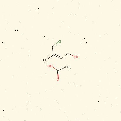 CC(=CCO)CCl.CC(=O)O